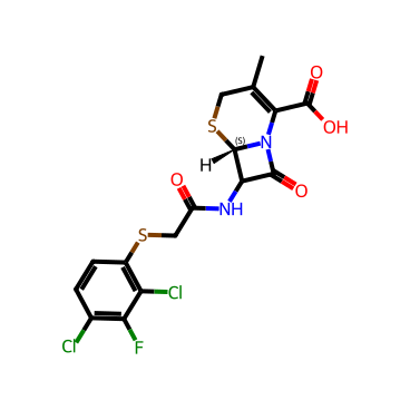 CC1=C(C(=O)O)N2C(=O)C(NC(=O)CSc3ccc(Cl)c(F)c3Cl)[C@@H]2SC1